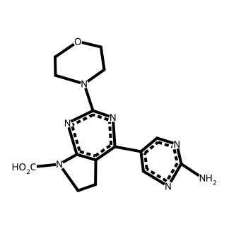 Nc1ncc(-c2nc(N3CCOCC3)nc3c2CCN3C(=O)O)cn1